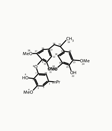 CCCc1cc(OC)c(O)c(Oc2c(OC)cc(CC(C)c3cc(OC)c(O)c(OC)c3)cc2OC)c1